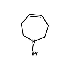 CC(C)N1CCC=CCC1